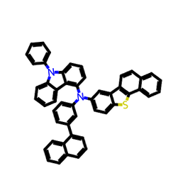 c1ccc(-n2c3ccccc3c3c(N(c4cccc(-c5cccc6ccccc56)c4)c4ccc5sc6c7ccccc7ccc6c5c4)cccc32)cc1